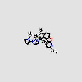 Cc1ccc2c(n1)oc1ccc(C)c(C(C)(C)N3C=CN(c4cccn4C)[C@H]3C)c12